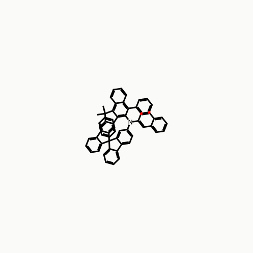 CC1(C)c2ccccc2-c2c(N(c3ccc4c(c3)C3(c5ccccc5-c5ccccc53)c3ccccc3-4)c3ccc4ccccc4c3)c(-c3ccccc3)c3ccccc3c21